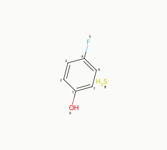 Oc1ccc(F)cc1.S